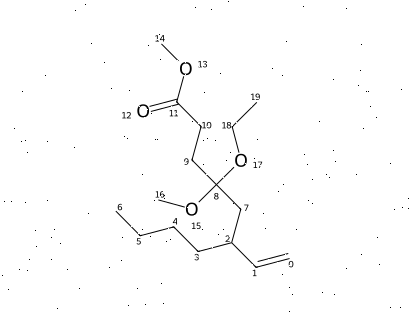 C=CC(CCCC)CC(CCC(=O)OC)(OC)OCC